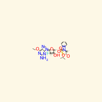 CCOc1nc(N)nc2c1ncn2[C@@H]1O[C@H](CO[P@@](=S)(N[C@H](C)C(=O)OC(C)C)Oc2ccccc2)[C@@H](O)[C@@]1(C)F